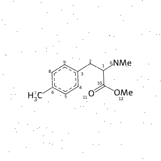 CNC(Cc1ccc(C)cc1)C(=O)OC